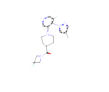 Cc1cnn(-c2c(F)cncc2N2CCC(C(=O)N3CC(F)(F)C3)CC2)c1